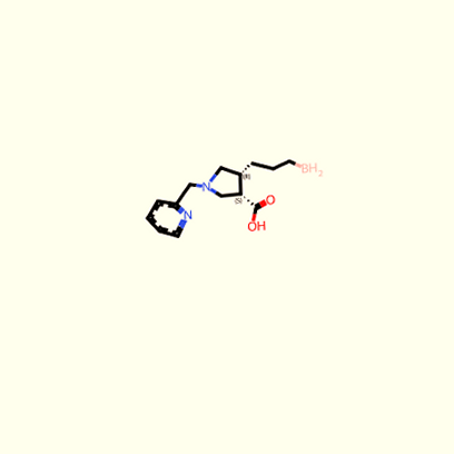 BCCC[C@H]1CN(Cc2ccccn2)C[C@H]1C(=O)O